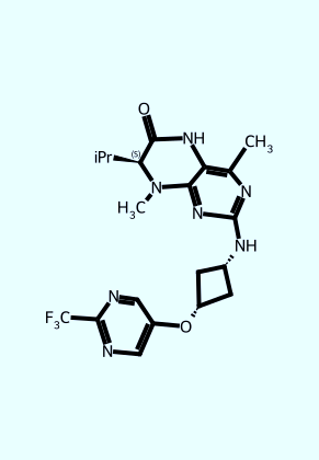 Cc1nc(N[C@H]2C[C@@H](Oc3cnc(C(F)(F)F)nc3)C2)nc2c1NC(=O)[C@H](C(C)C)N2C